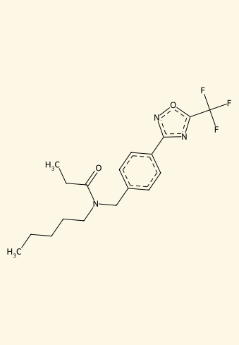 CCCCCN(Cc1ccc(-c2noc(C(F)(F)F)n2)cc1)C(=O)CC